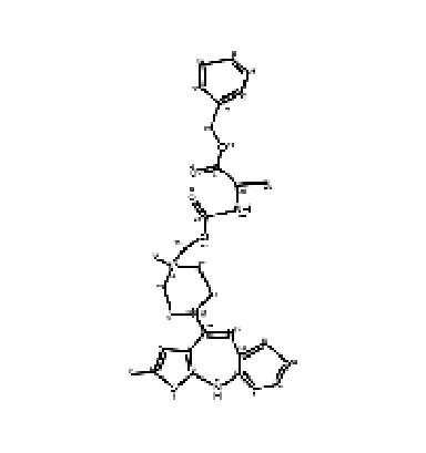 Cc1cc2c(s1)Nc1ccccc1N=C2N1CC[N+](C)(COC(=O)NC(C)C(=O)OCc2ccccc2)CC1